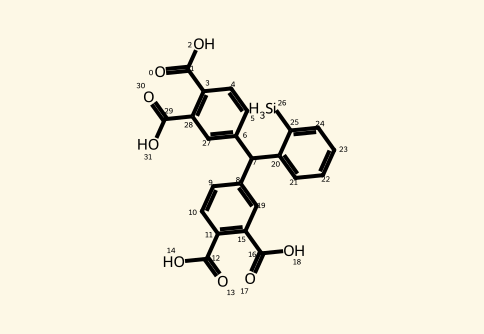 O=C(O)c1ccc(C(c2ccc(C(=O)O)c(C(=O)O)c2)c2ccccc2[SiH3])cc1C(=O)O